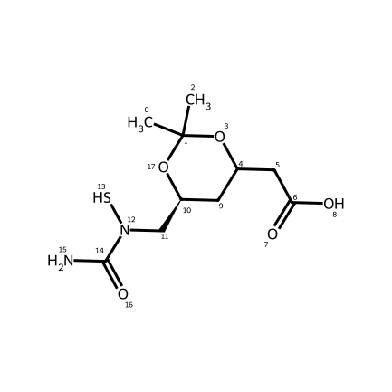 CC1(C)OC(CC(=O)O)C[C@@H](CN(S)C(N)=O)O1